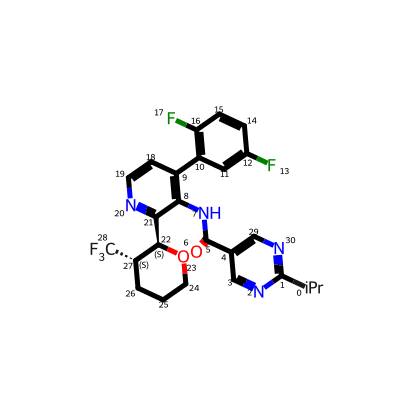 CC(C)c1ncc(C(=O)Nc2c(-c3cc(F)ccc3F)ccnc2[C@H]2OCCC[C@@H]2C(F)(F)F)cn1